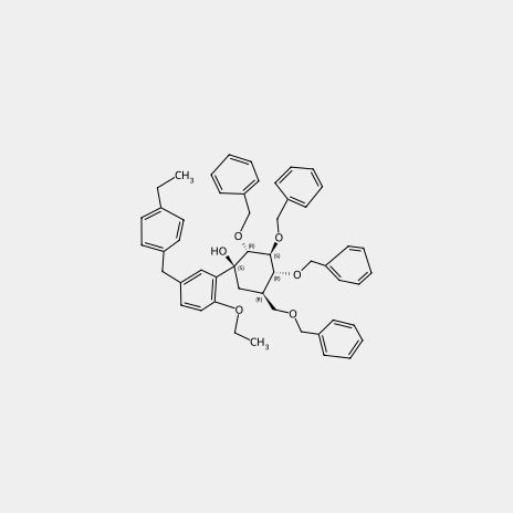 CCOc1ccc(Cc2ccc(CC)cc2)cc1[C@@]1(O)C[C@H](COCc2ccccc2)[C@@H](OCc2ccccc2)[C@H](OCc2ccccc2)[C@H]1OCc1ccccc1